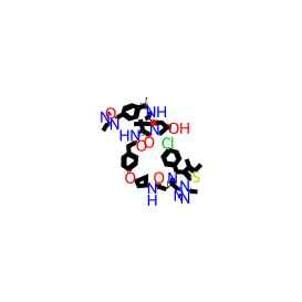 Cc1noc(-c2ccc([C@H](C)NC(C)[C@@H]3C[C@@H](O)CN3C(=O)[C@@H](NC(=O)Cc3ccc(O[C@H]4C[C@H](NC(=O)C[C@@H]5N=C(c6ccc(Cl)cc6)c6c(sc(C)c6C)-n6c(C)nnc65)C4)cc3)C(C)(C)C)cc2)n1